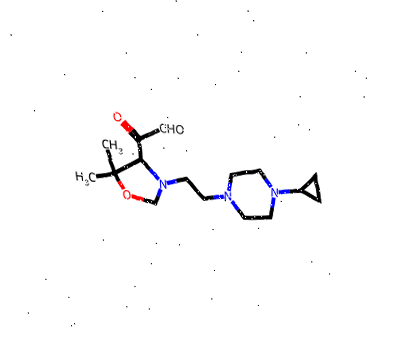 CC1(C)OCN(CCN2CCN(C3CC3)CC2)C1C(=O)C=O